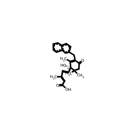 CC(C=C[C@@]1(O)C(C)=C(Cc2ccc3ccccc3c2)C(=O)CC1(C)C)=CC(=O)O